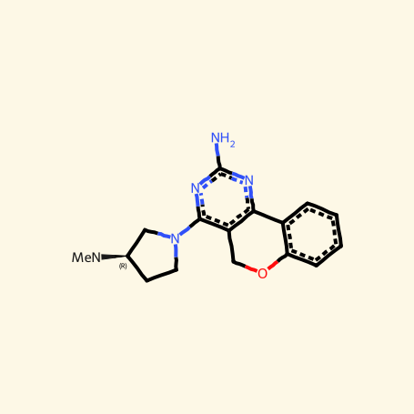 CN[C@@H]1CCN(c2nc(N)nc3c2COc2ccccc2-3)C1